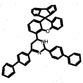 c1ccc(-c2ccc(C3=NC(c4ccc(-c5ccccc5)cc4)NC(c4cccc5c4Oc4ccccc4C54c5ccccc5-c5ccccc54)C3)cc2)cc1